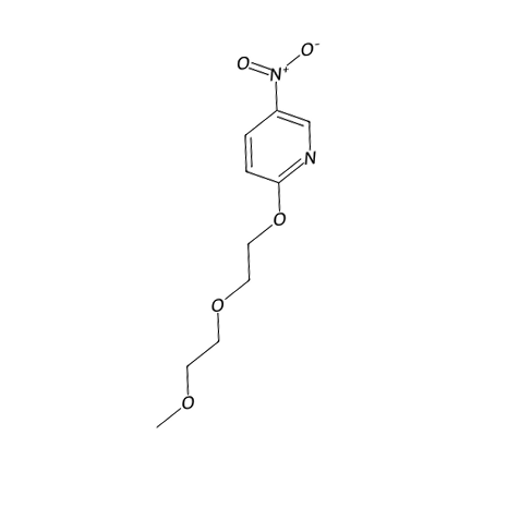 COCCOCCOc1ccc([N+](=O)[O-])cn1